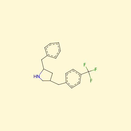 FC(F)(F)c1ccc(CC2CNC(Cc3ccccc3)C2)cc1